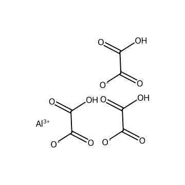 O=C([O-])C(=O)O.O=C([O-])C(=O)O.O=C([O-])C(=O)O.[Al+3]